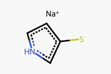 [Na+].[S-]c1cc[nH]c1